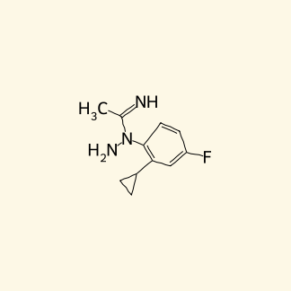 CC(=N)N(N)c1ccc(F)cc1C1CC1